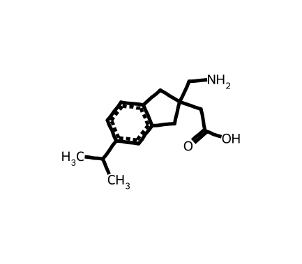 CC(C)c1ccc2c(c1)CC(CN)(CC(=O)O)C2